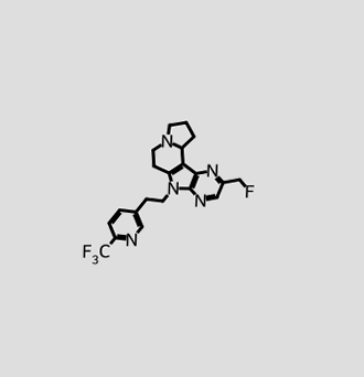 FCc1cnc2c(n1)c1c(n2CCc2ccc(C(F)(F)F)nc2)CCN2CCCC12